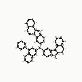 c1ccc(-c2cc(N(c3ccc4sc5c6ccccc6ccc5c4c3)c3ccc4sc5ccc6ccccc6c5c4c3)cc3ccccc23)cc1